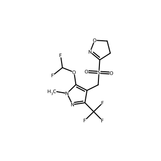 Cn1nc(C(F)(F)F)c(CS(=O)(=O)C2=NOCC2)c1OC(F)F